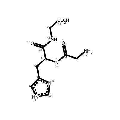 NCC(=O)N[C@@H](Cc1c[nH]cn1)C(=O)NCC(=O)O